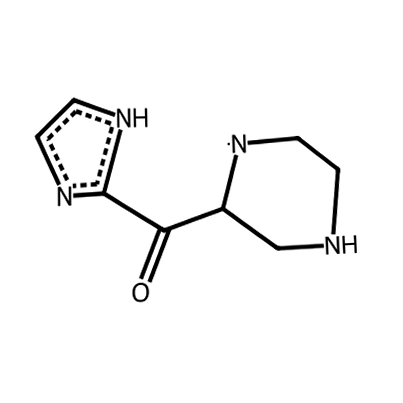 O=C(c1ncc[nH]1)C1CNCC[N]1